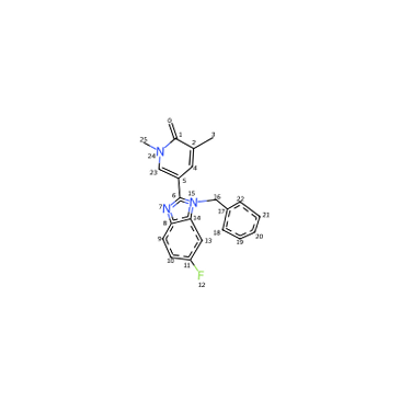 C=C1C(C)=CC(c2nc3ccc(F)cc3n2Cc2ccccc2)=CN1C